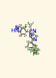 Fc1c(-c2c(C3CC3)nc3cnc(-c4cccc(S(F)(F)(F)(F)F)c4)cn23)ccc2[nH]ncc12